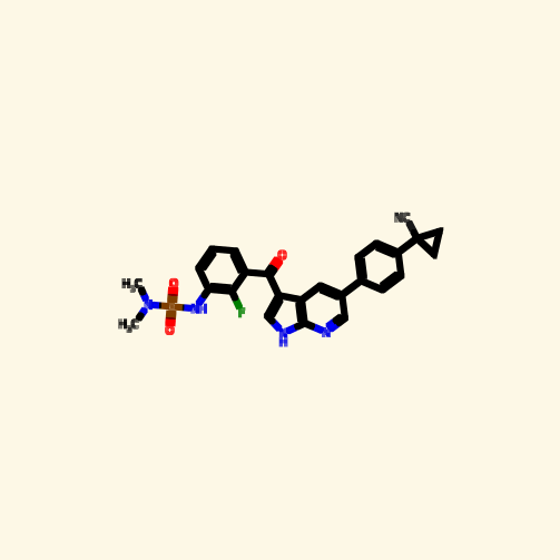 CN(C)S(=O)(=O)Nc1cccc(C(=O)c2c[nH]c3ncc(-c4ccc(C5(C#N)CC5)cc4)cc23)c1F